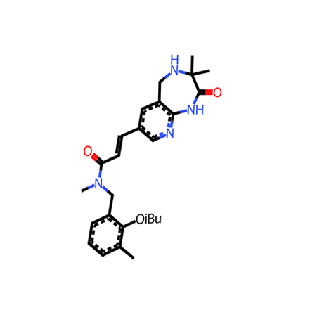 Cc1cccc(CN(C)C(=O)/C=C/c2cnc3c(c2)CNC(C)(C)C(=O)N3)c1OCC(C)C